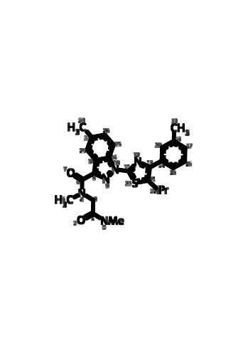 CNC(=O)CN(C)C(=O)c1nn(-c2nc(-c3cccc(C)c3)c(C(C)C)s2)c2ccc(C)cc12